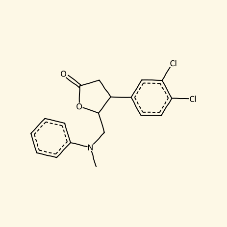 CN(CC1OC(=O)CC1c1ccc(Cl)c(Cl)c1)c1ccccc1